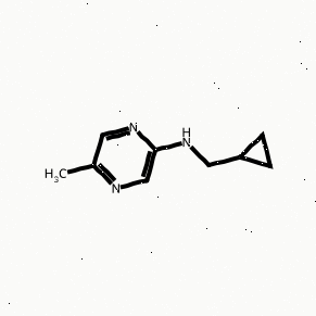 Cc1cnc(NCC2CC2)cn1